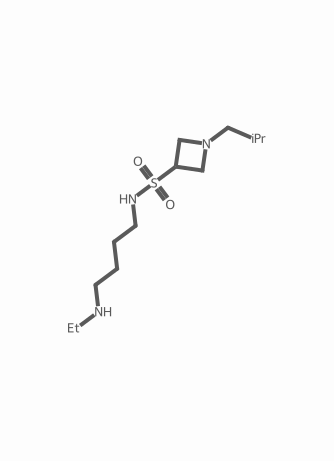 CCNCCCCNS(=O)(=O)C1CN(CC(C)C)C1